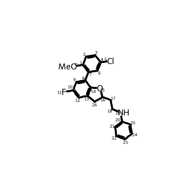 COc1ccc(Cl)cc1-c1cc(F)cc2c1OC(CCNc1ccccc1)C2